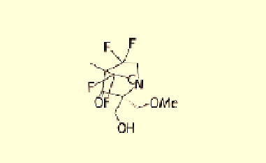 COC[C@]1(CO)C(=O)C2(C)C(F)(F)CN1CC2(F)F